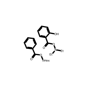 CCCCCCOC(=O)c1ccccc1.CCN(CC)OC(=O)c1ccccc1O